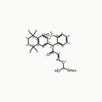 CCCCCCC(O)ON=CC(=O)N(c1ccc2c(c1)C(C)(C)CCC2(C)C)c1ccccc1C(=O)O